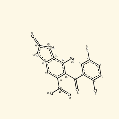 O=C(c1cc(F)ccc1Cl)c1c([N+](=O)[O-])cc2oc(=O)[nH]c2c1Br